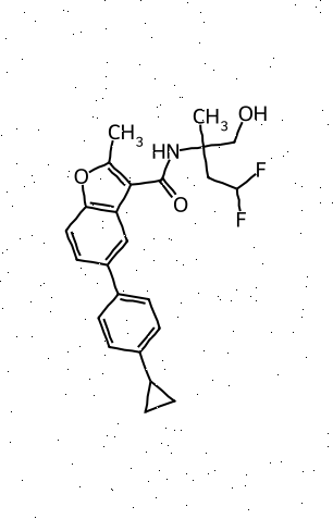 Cc1oc2ccc(-c3ccc(C4CC4)cc3)cc2c1C(=O)NC(C)(CO)CC(F)F